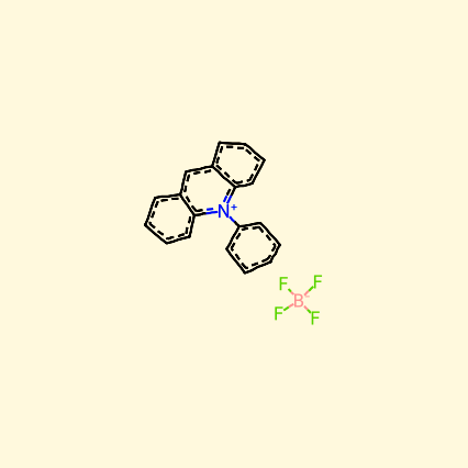 F[B-](F)(F)F.c1ccc(-[n+]2c3ccccc3cc3ccccc32)cc1